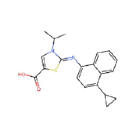 CC(C)n1cc(C(=O)O)s/c1=N\c1ccc(C2CC2)c2ccccc12